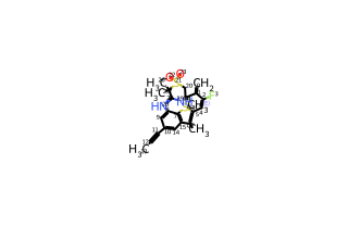 C=C(/C(F)=C\c1sc2ccc(C#CC)cc2c1C)[C@]1(C)CS(=O)(=O)C(C)(C)C(=N)N1